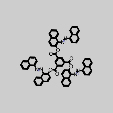 O=C(Oc1ccc2ccccc2c1/N=N/c1cccc2ccccc12)c1cc(C(=O)Oc2ccc3ccccc3c2/N=N/c2cccc3ccccc23)cc(C(=O)Oc2ccc3ccccc3c2/N=N/c2cccc3ccccc23)c1